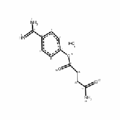 Cl.N=C(N)c1ccc(OC(=O)CCC(N)=O)cc1